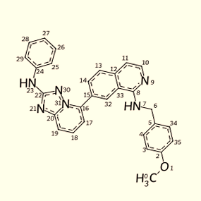 COc1ccc(CNc2nccc3ccc(-c4cccc5nc(Nc6ccccc6)nn45)cc23)cc1